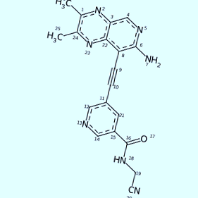 Cc1nc2cnc(N)c(C#Cc3cncc(C(=O)NCC#N)c3)c2nc1C